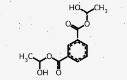 CC(O)OC(=O)c1cccc(C(=O)OC(C)O)c1